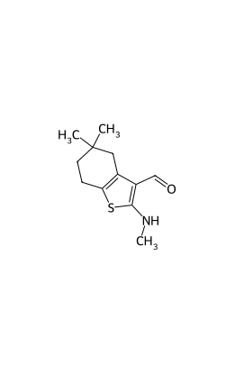 CNc1sc2c(c1C=O)CC(C)(C)CC2